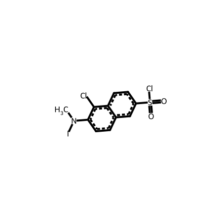 CN(I)c1ccc2cc(S(=O)(=O)Cl)ccc2c1Cl